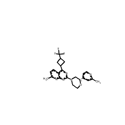 Cc1cc([C@H]2CN(c3nc(C4CC(C(F)(F)F)C4)c4ccc(C)nc4n3)CCO2)ccn1